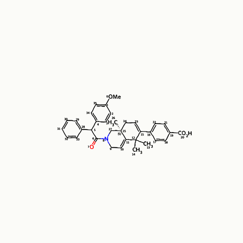 COc1ccc(C(C(=O)N2CC=C3C(C)(C)C(c4ccc(C(=O)O)cc4)=CC[C@]3(C)C2)c2ccccc2)cc1